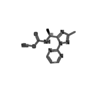 Cc1nc([C@H](C)NC(=O)OC(C)(C)C)n(-c2ncccn2)n1